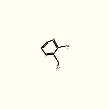 CC(=O)Cc1ccccc1C(C)=O